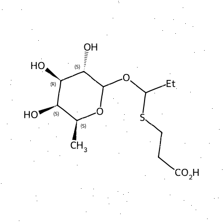 CCC(OC1O[C@@H](C)[C@@H](O)[C@@H](O)[C@@H]1O)SCCC(=O)O